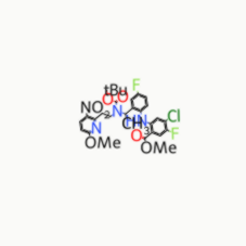 COC(=O)c1cc(F)c(Cl)cc1Nc1ccc(F)cc1C(C)N(CCc1nc(OC)ccc1[N+](=O)[O-])C(=O)OC(C)(C)C